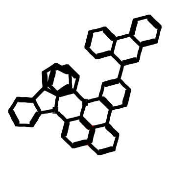 c1ccc(-c2ccc(-c3cc4ccccc4c4ccccc34)cc2N(c2ccccc2)c2ccccc2-n2c3ccccc3c3ccccc32)cc1